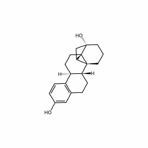 C[C@]12CC[C@@H]3c4ccc(O)cc4CC[C@H]3[C@@]13CCC[C@]2(O)CC3